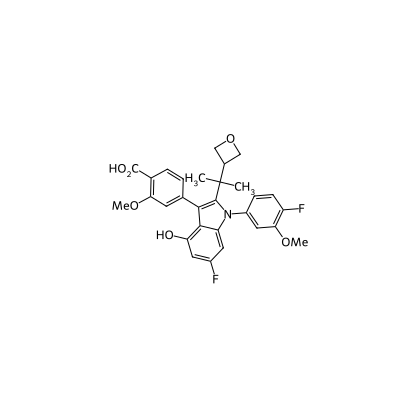 COc1cc(-n2c(C(C)(C)C3COC3)c(-c3ccc(C(=O)O)c(OC)c3)c3c(O)cc(F)cc32)ccc1F